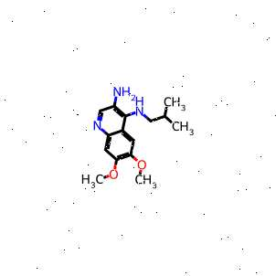 COc1cc2ncc(N)c(NCC(C)C)c2cc1OC